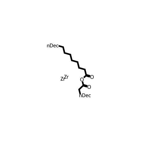 CCCCCCCCCCCCCCCCCC(=O)OC(=O)CCCCCCCCCCC.[Zr].[Zr]